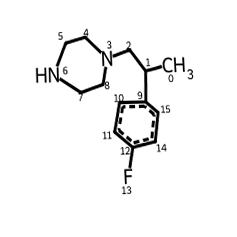 CC(CN1CCNCC1)c1ccc(F)cc1